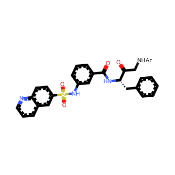 CC(=O)NCC(=O)[C@H](Cc1ccccc1)NC(=O)c1cccc(NS(=O)(=O)c2ccc3ncccc3c2)c1